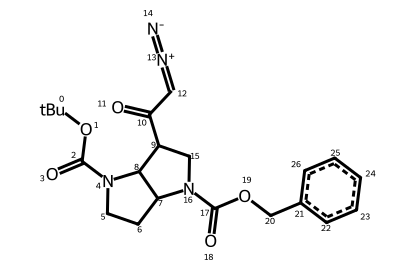 CC(C)(C)OC(=O)N1CCC2C1C(C(=O)C=[N+]=[N-])CN2C(=O)OCc1ccccc1